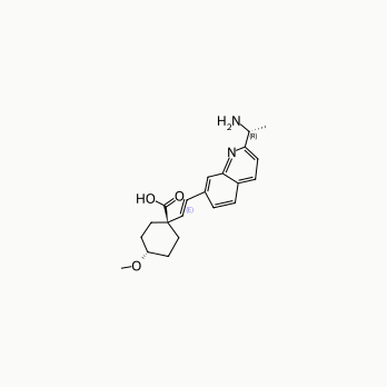 CO[C@H]1CC[C@](/C=C/c2ccc3ccc([C@@H](C)N)nc3c2)(C(=O)O)CC1